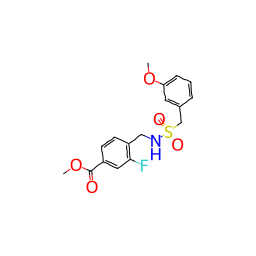 COC(=O)c1ccc(CNS(=O)(=O)Cc2cccc(OC)c2)c(F)c1